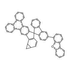 C1=CC2CC2C2=C1C1(c3cc4c5ccccc5c5ccccc5c4cc32)c2ccccc2-c2cc(-c3cccc4c3oc3ccccc34)ccc21